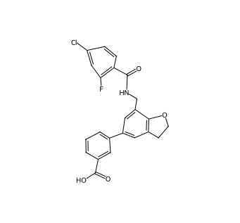 O=C(O)c1cccc(-c2cc3c(c(CNC(=O)c4ccc(Cl)cc4F)c2)OCC3)c1